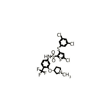 CN1CC[C@@H](Oc2cc(NS(=O)(=O)c3sc(Cl)cc3Sc3cc(Cl)cc(Cl)c3)ccc2C(F)(F)F)C1